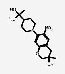 CC1(O)COc2cc(N3CCC(C(C)(O)C(F)(F)F)CC3)c([N+](=O)[O-])cc2C1